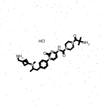 CC(Cc1ccc(-n2ccc(NC(=O)N3CCN(C(=O)C(C)(C)N)CC3)nc2=O)cc1)N(C)C12CC(CN)(C1)C2.Cl